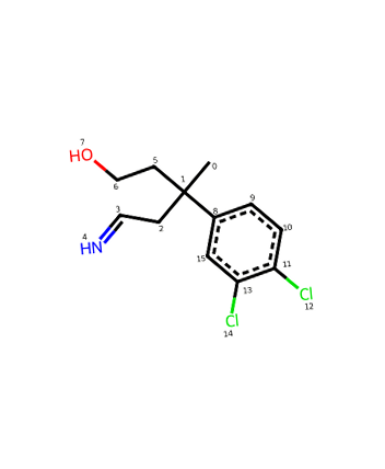 CC(CC=N)(CCO)c1ccc(Cl)c(Cl)c1